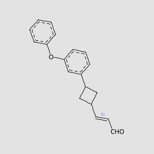 O=C/C=C/C1CC(c2cccc(Oc3ccccc3)c2)C1